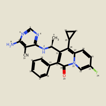 C[C@H](Nc1ncnc(N)c1C#N)c1c(-c2ccccc2)c(=O)n2cc(F)ccc2c1C1CC1